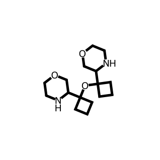 C1CC(OC2(C3COCCN3)CCC2)(C2COCCN2)C1